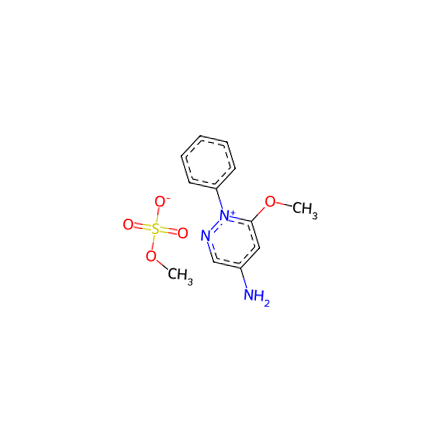 COS(=O)(=O)[O-].COc1cc(N)cn[n+]1-c1ccccc1